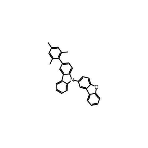 Cc1cc(C)c(-c2ccc3c(c2)c2ccccc2n3-c2ccc3oc4ccccc4c3c2)c(C)c1